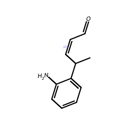 CC(/C=C\C=O)c1ccccc1N